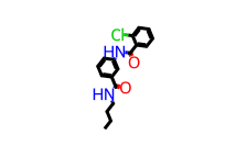 CCCCNC(=O)c1cccc(NC(=O)c2ccccc2Cl)c1